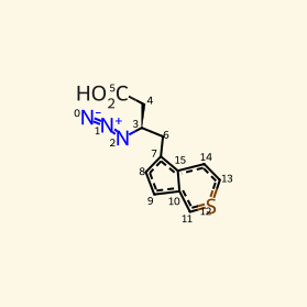 [N-]=[N+]=N[C@@H](CC(=O)O)Cc1ccc2csccc1-2